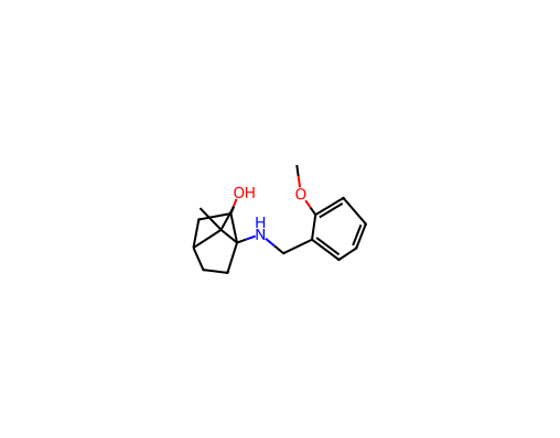 COc1ccccc1CNC12CCC(CC1O)C2(C)C